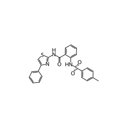 Cc1ccc(S(=O)(=O)Nc2ccccc2C(=O)Nc2nc(-c3ccccc3)cs2)cc1